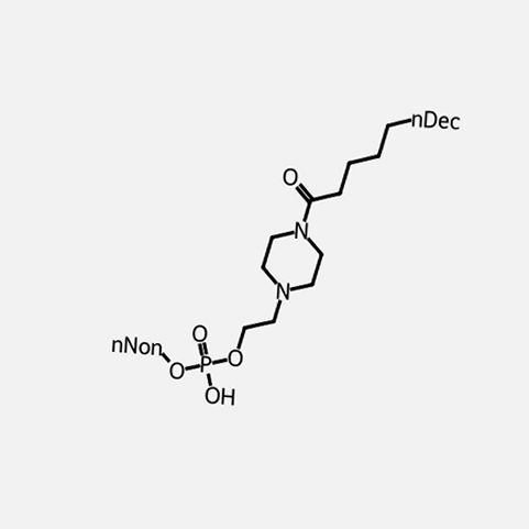 CCCCCCCCCCCCCCC(=O)N1CCN(CCOP(=O)(O)OCCCCCCCCC)CC1